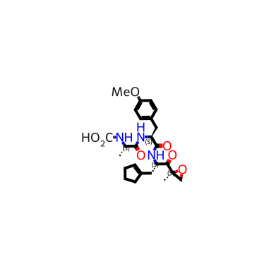 COc1ccc(C[C@H](NC(=O)[C@H](C)NC(=O)O)C(=O)N[C@@H](CC2=CCCC2)C(=O)[C@]2(C)CO2)cc1